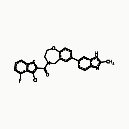 Cc1nc2ccc(-c3ccc4c(c3)CN(C(=O)c3sc5cccc(F)c5c3Cl)CCO4)cc2[nH]1